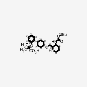 CC(C)(C)OC(=O)NC1CCCNC1CO[C@H]1CC[C@@H](c2ccccc2OC(C)(C)C(=O)O)CC1